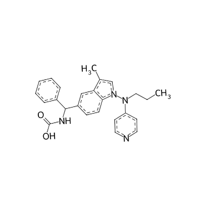 CCCN(c1ccncc1)n1cc(C)c2cc(C(NC(=O)O)c3ccccc3)ccc21